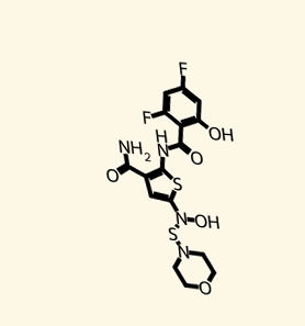 NC(=O)c1cc(N(O)SN2CCOCC2)sc1NC(=O)c1c(O)cc(F)cc1F